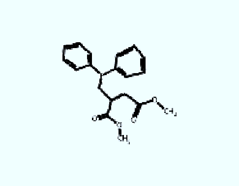 COC(=O)CC(CP(c1ccccc1)c1ccccc1)C(=O)OC